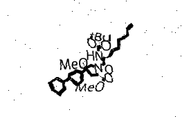 C=CCCCCC[C@H](NC(=O)OC(C)(C)C)C(=O)N1C[C@](OC)(c2ccc(-c3ccccc3)cc2)C[C@H]1C(=O)OC